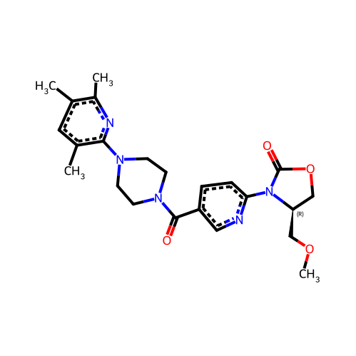 COC[C@@H]1COC(=O)N1c1ccc(C(=O)N2CCN(c3nc(C)c(C)cc3C)CC2)cn1